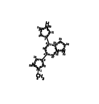 Cn1cc(-c2cc(-c3cn[nH]c3)c3ccnn3c2)cn1